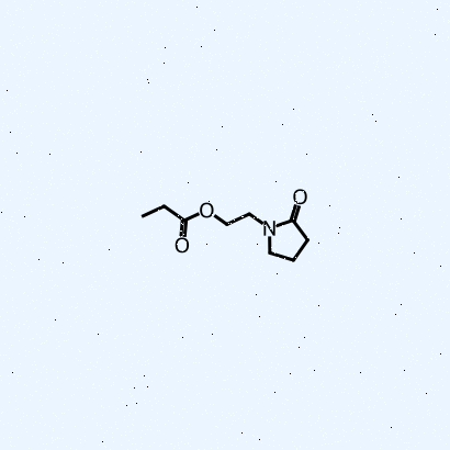 CCC(=O)OCCN1CCCC1=O